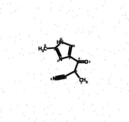 Cc1nc(C(=O)C(C)C#N)c[nH]1